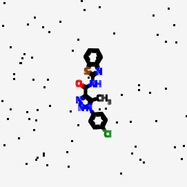 Cc1c(C(=O)Nc2nc3ccccc3s2)nnn1-c1ccc(Cl)cc1